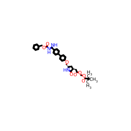 CC(C)(C)C(=O)OCOC(=O)C[C@@H]1C[C@@H](COc2ccc(-c3ccc(C(=N)NC(=O)OCc4ccccc4)cc3)cc2)NC1=O